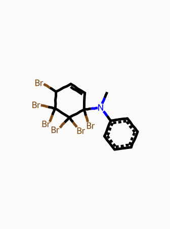 CN(c1ccccc1)C1(Br)C=CC(Br)C(Br)(Br)C1(Br)Br